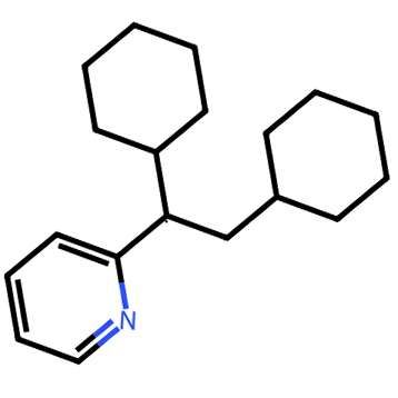 c1ccc([C](CC2CCCCC2)C2CCCCC2)nc1